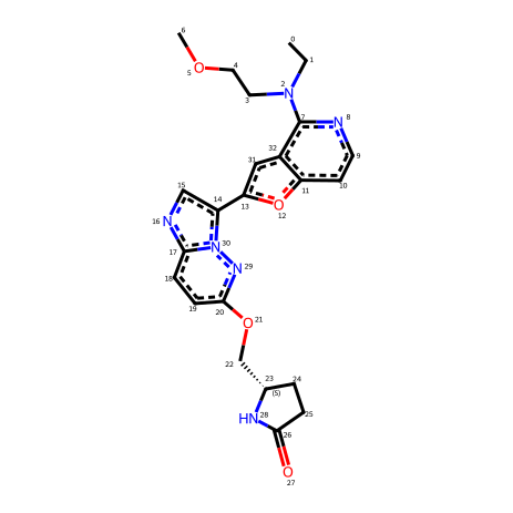 CCN(CCOC)c1nccc2oc(-c3cnc4ccc(OC[C@@H]5CCC(=O)N5)nn34)cc12